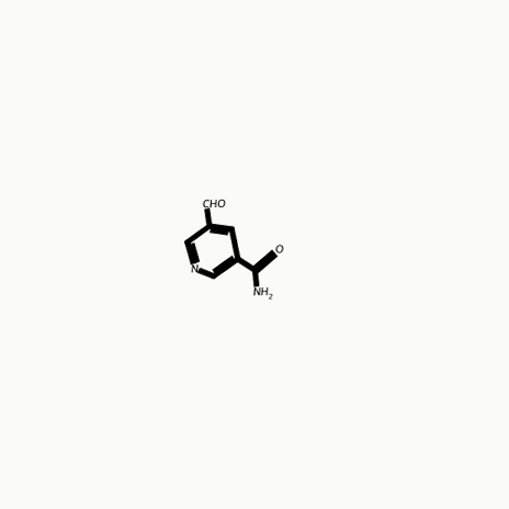 NC(=O)c1cncc(C=O)c1